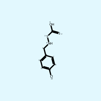 OC(=S)SNCc1ccc(Cl)cc1